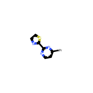 CC(C)c1ccnc(-c2nccs2)n1